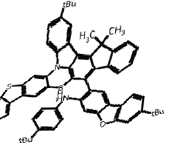 CC(C)(C)c1ccc(Nc2cc3oc4cc(C(C)(C)C)ccc4c3cc2-c2c3c(c4c5cc(C(C)(C)C)ccc5n5c4c2Bc2cc4c(cc2-5)sc2ccccc24)C(C)(C)c2ccccc2-3)cc1